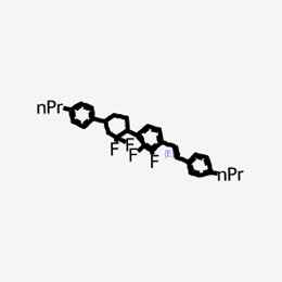 CCCc1ccc(/C=C/c2ccc(C3CCC(c4ccc(CCC)cc4)CC3(F)F)c(F)c2F)cc1